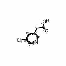 O=C(O)Cc1cn[c]c(Cl)c1